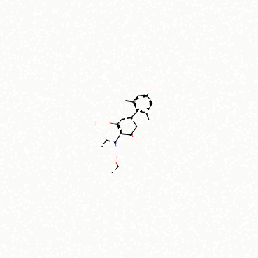 CCON=C(CC)C1=C(O)CC(c2c(C)cc(O)cc2C)CC1=O